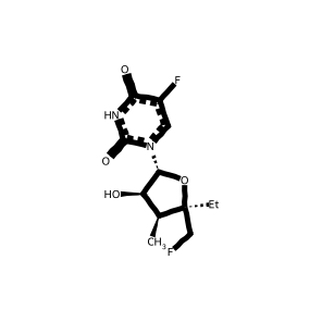 CC[C@@]1(CF)O[C@@H](n2cc(F)c(=O)[nH]c2=O)[C@H](O)[C@@H]1C